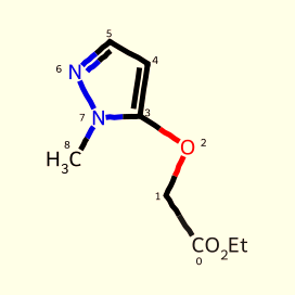 CCOC(=O)COc1ccnn1C